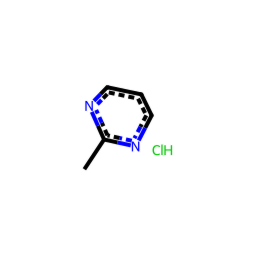 Cc1ncccn1.Cl